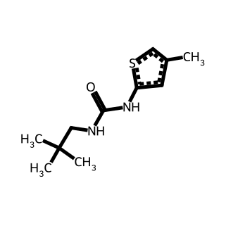 Cc1csc(NC(=O)NCC(C)(C)C)c1